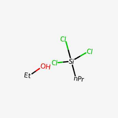 CCC[Si](Cl)(Cl)Cl.CCO